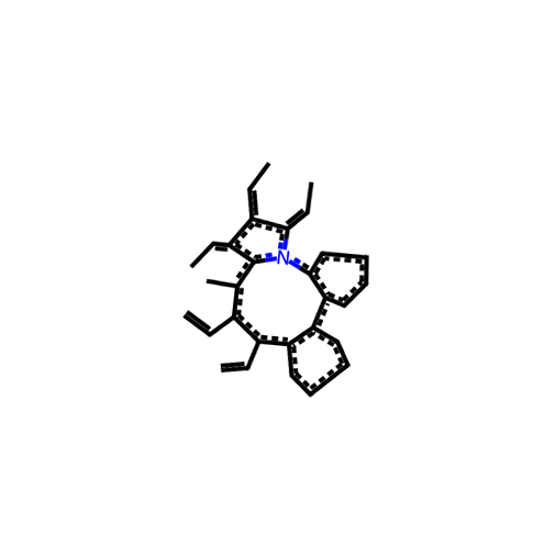 C=Cc1c(C=C)c2ccccc2c2ccccc2n2c(=C/C)/c(=C\C)c(=C/C)/c2c1C